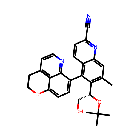 Cc1cc2nc(C#N)ccc2c(-c2ccc3c4c(ccnc24)CCO3)c1[C@@H](CO)OC(C)(C)C